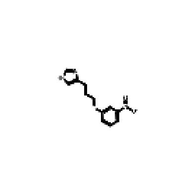 O=[N+]([O-])c1cccc(OCCCc2c[nH]cn2)c1